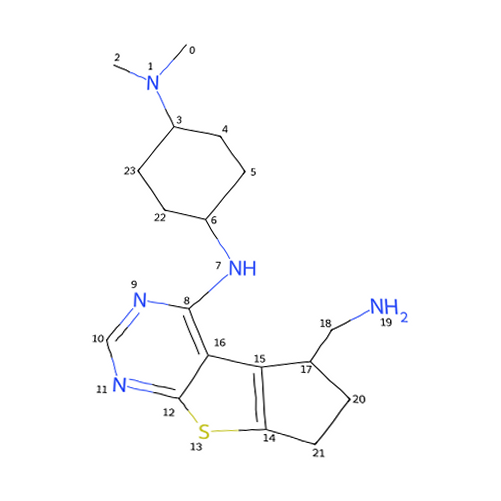 CN(C)C1CCC(Nc2ncnc3sc4c(c23)C(CN)CC4)CC1